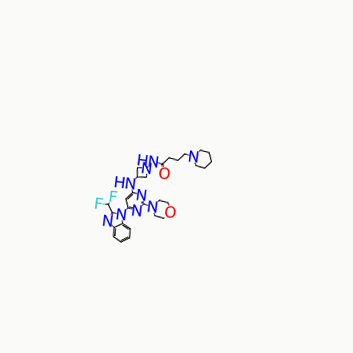 O=C(CCCN1CCCCC1)NN1CC(Nc2cc(-n3c(C(F)F)nc4ccccc43)nc(N3CCOCC3)n2)C1